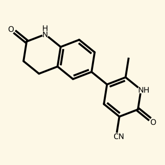 Cc1[nH]c(=O)c(C#N)cc1-c1ccc2c(c1)CCC(=O)N2